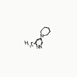 Cc1cc(N2CCCCC2)cnn1